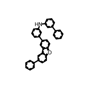 c1ccc(-c2cccc(Nc3cccc(-c4ccc5oc6ccc(-c7ccccc7)cc6c5c4)c3)c2)cc1